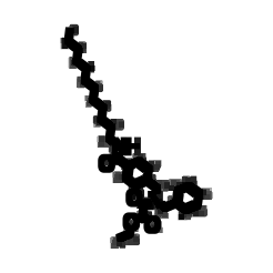 CCCCCCCCCCCCNC(=O)c1ccc(CN(Cc2ccccc2)C(=O)C(=O)OCC)cc1